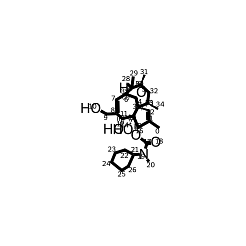 CC1=C[C@]23C(=O)[C@@H](C=C(CO)[C@@H](O)[C@]2(O)[C@H]1OC(=O)N(C)C1CCCCC1)C(C)(C)[C@@H](C)C[C@H]3C